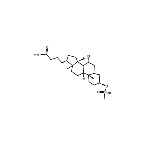 COC(=O)CCC[C@H]1CC[C@@H]2C3[C@@H](CCC12C)[C@@]1(C)CC[C@H](OS(C)(=O)=O)CC1C[C@@H]3O